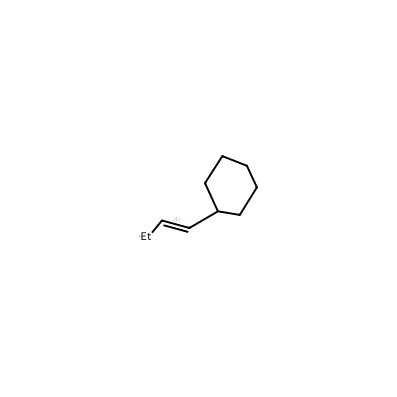 C[CH]/C=C/C1CCCCC1